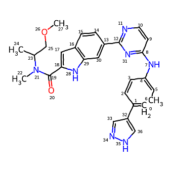 C=C(/C=C\C(=C/C)Nc1ccnc(-c2ccc3cc(C(=O)N(C)C(C)COC)[nH]c3c2)n1)c1cn[nH]c1